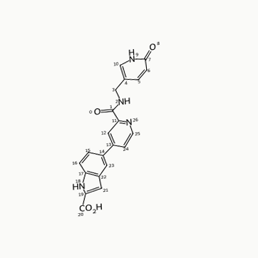 O=C(NCc1ccc(=O)[nH]c1)c1cc(-c2ccc3[nH]c(C(=O)O)cc3c2)ccn1